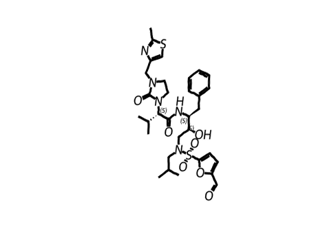 Cc1nc(CN2CCN([C@H](C(=O)N[C@@H](Cc3ccccc3)[C@@H](O)CN(CC(C)C)S(=O)(=O)c3ccc(C=O)o3)C(C)C)C2=O)cs1